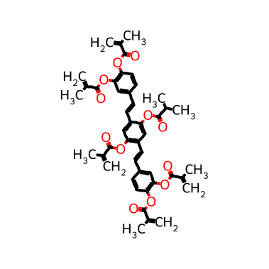 C=C(C)C(=O)Oc1cc(/C=C/c2ccc(OC(=O)C(=C)C)c(OC(=O)C(=C)C)c2)c(OC(=O)C(C)C)cc1/C=C/c1ccc(OC(=O)C(=C)C)c(OC(=O)C(=C)C)c1